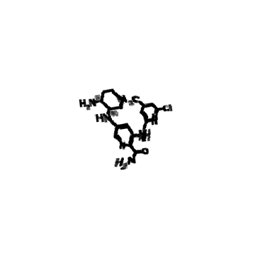 Cc1cc(Cl)nc(Nc2cc(N[C@@H]3CCCC[C@@H]3N)cnc2C(N)=O)c1